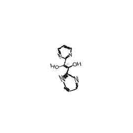 O/C(=C(/O)c1ncccn1)c1ncccn1